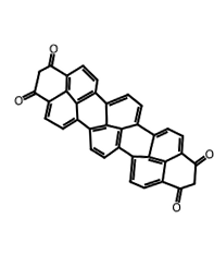 O=C1CC(=O)c2ccc3c4ccc5c6ccc7c8c(ccc(c9ccc(c%10ccc1c2c%103)c4c95)c86)C(=O)CC7=O